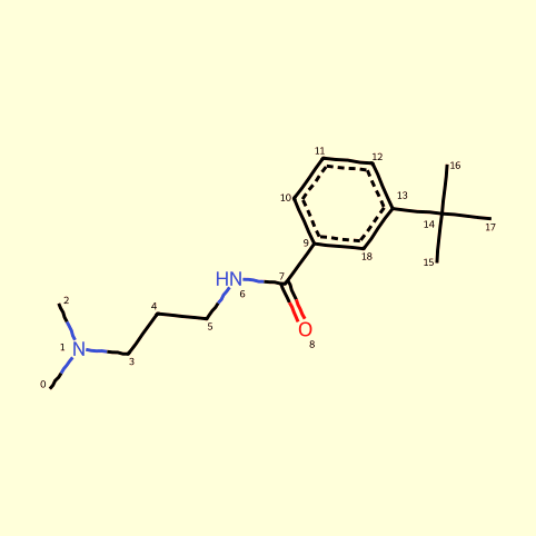 CN(C)CCCNC(=O)c1cccc(C(C)(C)C)c1